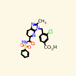 Cc1nc2ccc(C(=O)NS(=O)(=O)c3ccccc3)nc2n1Cc1ccc(C(=O)O)cc1Cl